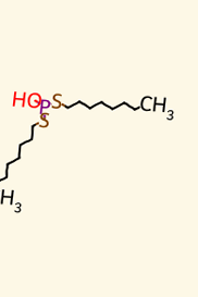 CCCCCCCCSP(O)SCCCCCCCC